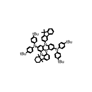 CC(C)(C)c1ccc(N(c2ccc(C(C)(C)C)cc2)c2ccc3c(c2)B2c4cccc5c4N(c4cc(N(c6ccc(C(C)(C)C)cc6)c6ccc(C(C)(C)C)cc6)cc(c42)N3c2ccc3c(c2)-c2ccccc2C3(C)C)C2(C)CCCCC52C)cc1